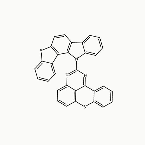 c1ccc2c(c1)Sc1cccc3nc(-n4c5ccccc5c5ccc6sc7ccccc7c6c54)nc-2c13